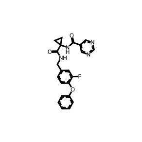 O=C(NC1(C(=O)NCc2ccc(Oc3ccccc3)c(F)c2)CC1)c1cncnc1